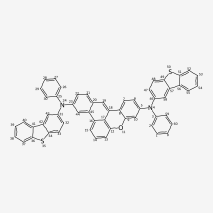 c1ccc(N(c2ccc3c(c2)Oc2cccc4c2c-3cc2ccc(N(c3ccccc3)c3ccc5sc6ccccc6c5c3)cc24)c2ccc3sc4ccccc4c3c2)cc1